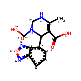 CC1=C(C(=O)O)C(c2cccc3nonc23)N(C(=O)O)CN1